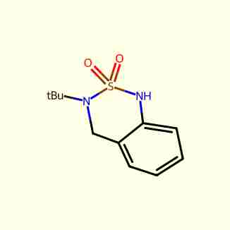 CC(C)(C)N1Cc2ccccc2NS1(=O)=O